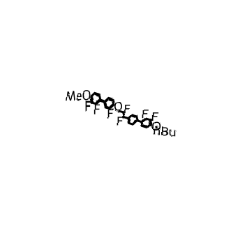 CCCCOc1ccc(-c2ccc(C(F)C(F)COc3ccc(-c4ccc(OC)c(F)c4F)cc3F)cc2)c(F)c1F